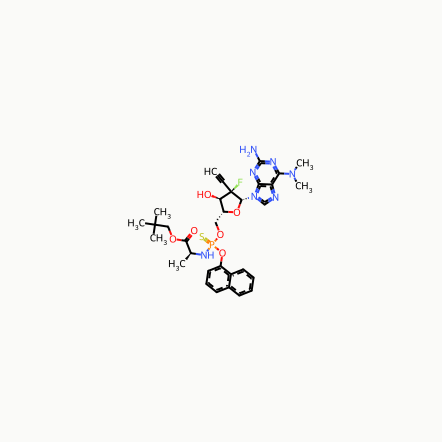 C#C[C@@]1(F)[C@H](O)[C@@H](COP(=S)(N[C@@H](C)C(=O)OCC(C)(C)C)Oc2cccc3ccccc23)O[C@H]1n1cnc2c(N(C)C)nc(N)nc21